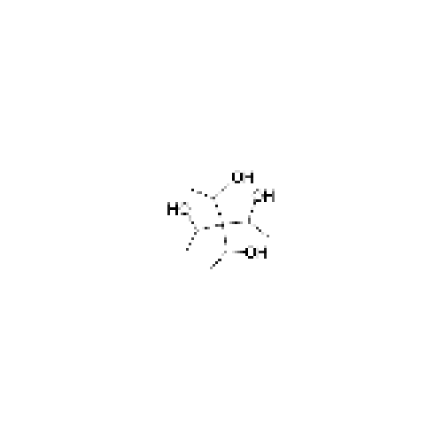 CC(O)C(C(C)O)(C(C)O)C(C)O